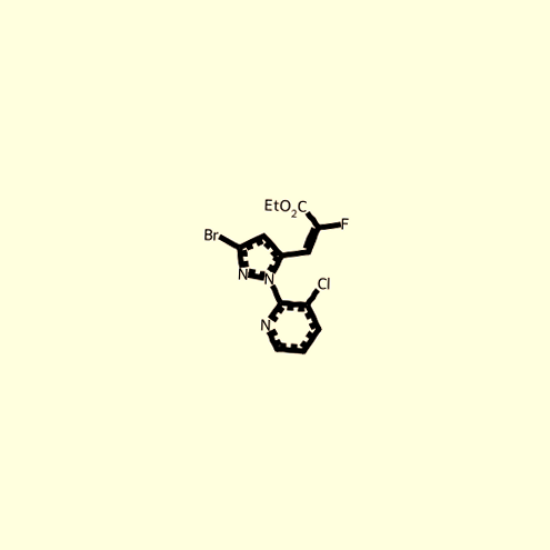 CCOC(=O)/C(F)=C\c1cc(Br)nn1-c1ncccc1Cl